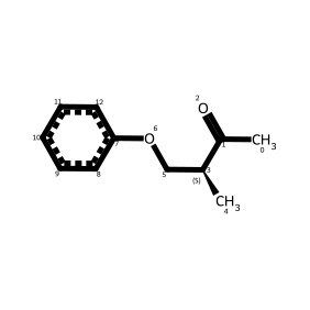 CC(=O)[C@@H](C)COc1ccccc1